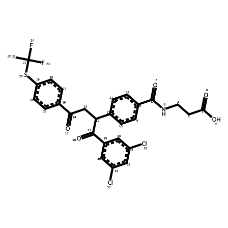 O=C(O)CCNC(=O)c1ccc(C(CC(=O)c2ccc(SC(F)(F)F)cc2)C(=O)c2cc(Cl)cc(Cl)c2)cc1